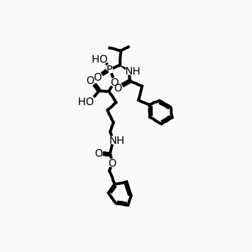 CC(C)[C@@H](NC(=O)CCc1ccccc1)P(=O)(O)OC(CCCCNC(=O)OCc1ccccc1)C(=O)O